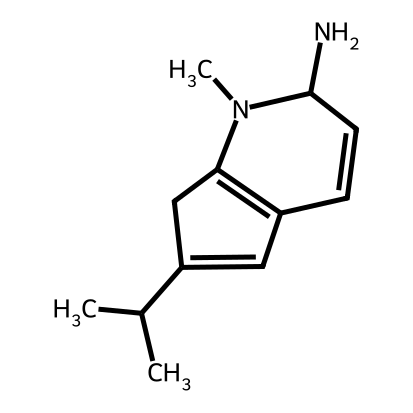 CC(C)C1=CC2=C(C1)N(C)C(N)C=C2